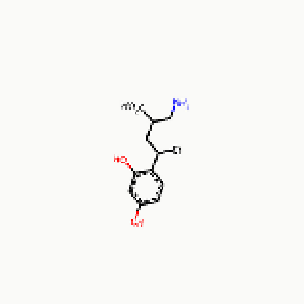 CCC(CC(CN)C(=O)O)c1ccc(O)cc1O